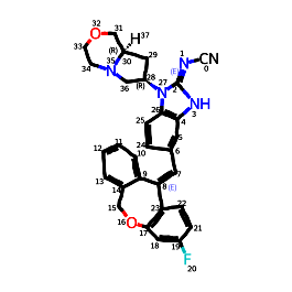 N#C/N=c1\[nH]c2cc(/C=C3\c4ccccc4COc4cc(F)ccc43)ccc2n1[C@@H]1C[C@@H]2COCCN2C1